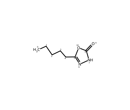 CCCCCc1n[nH]c(=O)o1